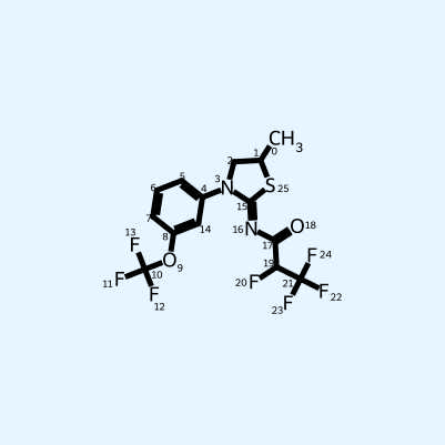 CC1CN(c2cccc(OC(F)(F)F)c2)C(=NC(=O)C(F)C(F)(F)F)S1